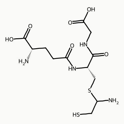 NC(CS)SC[C@H](NC(=O)CC[C@H](N)C(=O)O)C(=O)NCC(=O)O